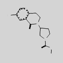 CC(C)(C)OC(=O)N1CCC(N2CCc3ncc(Br)cc3C2=O)C1